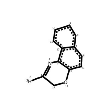 [2H]C1=Nc2c(ccc3ccccc23)OC1